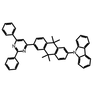 CC1(C)c2ccc(-n3c4ccccc4c4ccccc43)cc2C(C)(C)c2ccc(-c3cc(-c4ccccc4)nc(-c4ccccc4)n3)cc21